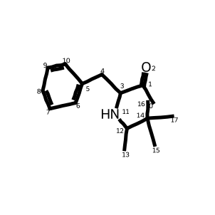 CC(=O)C(Cc1ccccc1)NC(C)C(C)(C)C